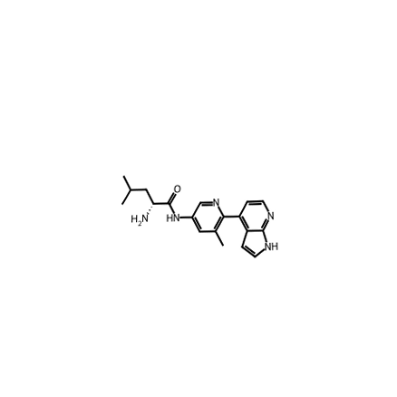 Cc1cc(NC(=O)[C@H](N)CC(C)C)cnc1-c1ccnc2[nH]ccc12